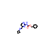 O=C(Nc1nccc(C=NC2CCC2)n1)OCc1ccccc1